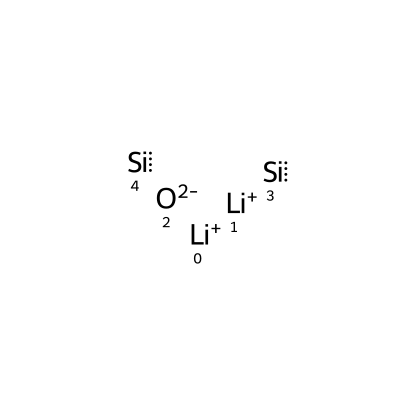 [Li+].[Li+].[O-2].[Si].[Si]